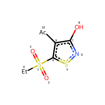 CCS(=O)(=O)c1snc(O)c1C(C)=O